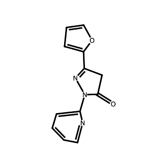 O=C1CC(c2ccco2)=NN1c1ccccn1